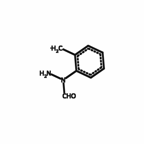 [CH2]c1ccccc1N(N)C=O